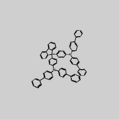 C1=CC(N(c2ccc(-c3ccccc3)cc2)c2ccc(C3(c4ccc(N(c5ccc(-c6ccccc6)cc5)c5ccc(-c6ccccc6)cc5)cc4)c4ccccc4-c4ccccc43)cc2)CC=C1c1ccccc1